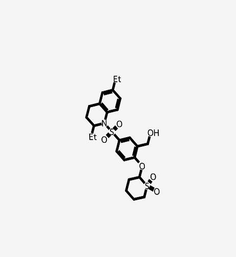 CCc1ccc2c(c1)CCC(CC)N2S(=O)(=O)c1ccc(OC2CCCCS2(=O)=O)c(CO)c1